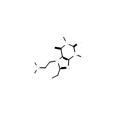 CCc1nc2c(c(=O)n(C)c(=O)n2C)n1CCN(C)C